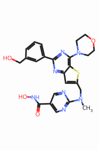 CN(Cc1cc2nc(-c3cccc(CO)c3)nc(N3CCOCC3)c2s1)c1ncc(C(=O)NO)cn1